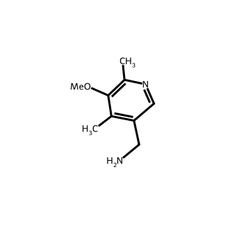 COc1c(C)ncc(CN)c1C